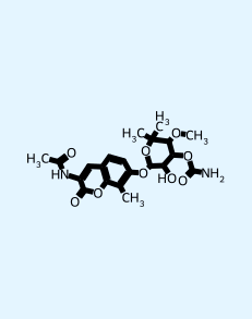 COC1C(OC(N)=O)C(O)C(Oc2ccc3cc(NC(C)=O)c(=O)oc3c2C)OC1(C)C